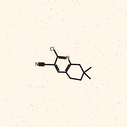 CC1(C)CCc2cc(C#N)c(Cl)nc2C1